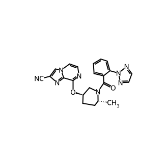 C[C@@H]1CC[C@@H](Oc2nccn3cc(C#N)nc23)CN1C(=O)c1ccccc1-n1nccn1